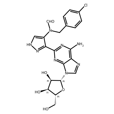 Nc1nc(-c2n[nH]cc2N(C=O)Cc2ccc(Cl)cc2)nc2c1ncn2[C@@H]1O[C@H](CO)[C@@H](O)[C@H]1O